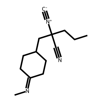 [C-]#[N+]C(C#N)(CCC)CC1CCC(=NC)CC1